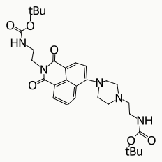 CC(C)(C)OC(=O)NCCN1CCN(c2ccc3c4c(cccc24)C(=O)N(CCNC(=O)OC(C)(C)C)C3=O)CC1